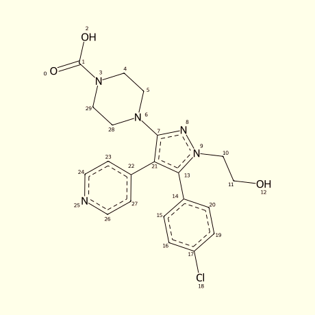 O=C(O)N1CCN(c2nn(CCO)c(-c3ccc(Cl)cc3)c2-c2ccncc2)CC1